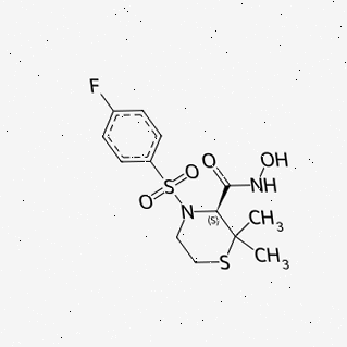 CC1(C)SCCN(S(=O)(=O)c2ccc(F)cc2)[C@H]1C(=O)NO